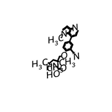 CC(C)CC(C)(COc1ccc(-c2ccnc3ccn(C)c23)cc1C#N)NC(=O)O